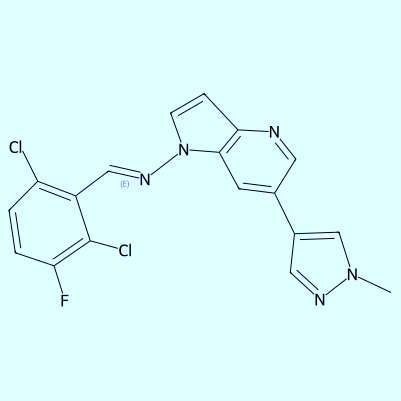 Cn1cc(-c2cnc3ccn(/N=C/c4c(Cl)ccc(F)c4Cl)c3c2)cn1